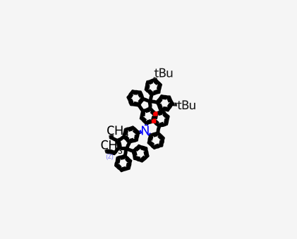 C=CC1=C(/C=C\C)C(c2ccccc2)(c2ccccc2)c2cc(N(c3ccc4c(c3)-c3ccccc3C4(c3ccc(C(C)(C)C)cc3)c3ccc(C(C)(C)C)cc3)c3ccccc3-c3ccccc3)ccc21